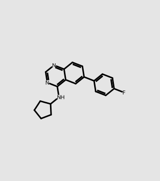 Fc1ccc(-c2ccc3ncnc(NC4CCCC4)c3c2)cc1